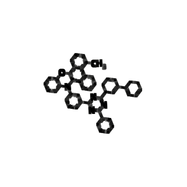 Cc1cccc2c3c(c4ccccc4c12)N(c1cccc(-c2nc(-c4ccccc4)nc(C4C=C(C5=CC=CCC5)C=CC4)n2)c1)c1ccccc1O3